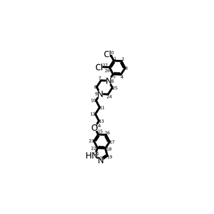 Clc1cccc(N2CCN(CCCCOc3ccc4cn[nH]c4c3)CC2)c1Cl